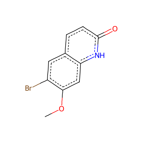 COc1cc2[nH]c(=O)ccc2cc1Br